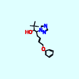 CC(C)(C)C(O)C(C/C=C/COc1ccccc1)n1cncn1